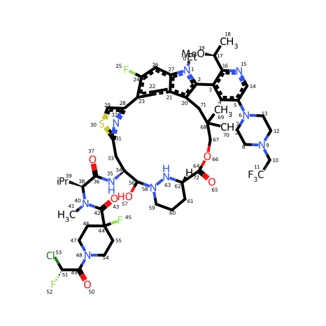 CCn1c(-c2cc(N3CCN(CC(F)(F)F)CC3)cnc2[C@H](C)OC)c2c3cc(c(F)cc31)-c1csc(n1)C[C@H](NC(=O)[C@H](C(C)C)N(C)C(=O)C1(F)CCN(C(=O)[C@H](F)Cl)CC1)C(O)N1CCC[C@H](N1)C(=O)OCC(C)(C)C2